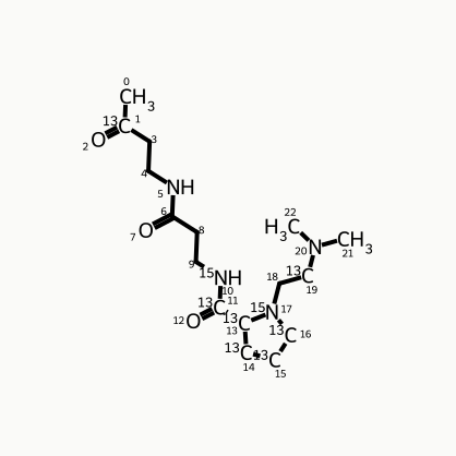 C[13C](=O)CCNC(=O)CC[15NH][13C](=O)[13CH]1[13CH2][13CH2][13CH2][15N]1C[13CH2]N(C)C